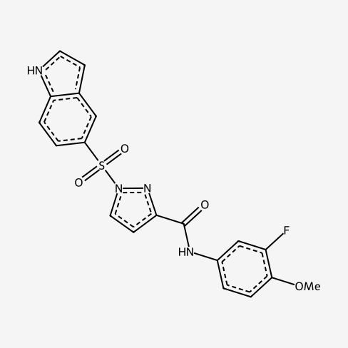 COc1ccc(NC(=O)c2ccn(S(=O)(=O)c3ccc4[nH]ccc4c3)n2)cc1F